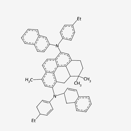 CCc1ccc(N(c2ccc3ccccc3c2)c2cc3c4c5c2ccc2c(C)cc(N(C6=CCC(CC)C=C6)C6C=Cc7ccccc7C6)c(c25)CC4C(C)(C)CC3)cc1